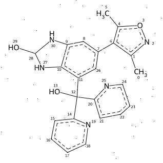 Cc1noc(C)c1-c1cc2c(c(C(O)(c3ccccn3)c3ccccn3)c1)NC(O)N2